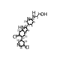 OCCNc1ccc(-c2cc3cc(-c4cncc(Cl)c4)c(Cl)cc3[nH]2)cn1